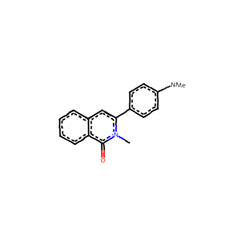 CNc1ccc(-c2cc3ccccc3c(=O)n2C)cc1